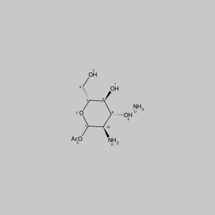 CC(=O)OC1O[C@H](CO)[C@@H](O)[C@H](O)[C@H]1N.N